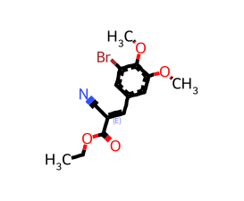 CCOC(=O)/C(C#N)=C/c1cc(Br)c(OC)c(OC)c1